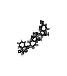 CS(=O)(=O)c1ccccc1Oc1ccc2[nH]c(Nc3c[nH]c4ccc(Br)nc34)nc2c1